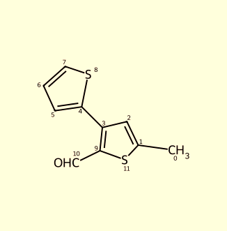 Cc1cc(-c2cccs2)c(C=O)s1